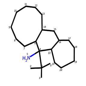 CC(C)(C)C1(N)C2CCCCCCCC2CC2CCCCCC21